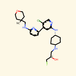 N#CC1(CNc2cccc(-c3cc(N[C@H]4CC[C@H](NC[C@@H](O)CF)CC4)ncc3Cl)n2)CCOCC1